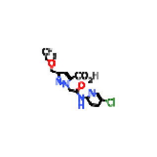 O=C(Cn1nc(COCC(F)(F)F)cc1C(=O)O)Nc1ccc(Cl)cn1